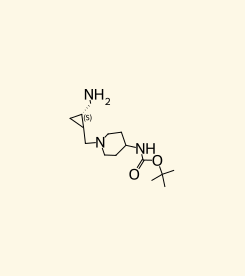 CC(C)(C)OC(=O)NC1CCN(CC2C[C@@H]2CN)CC1